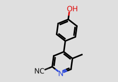 Cc1cnc(C#N)cc1-c1ccc(O)cc1